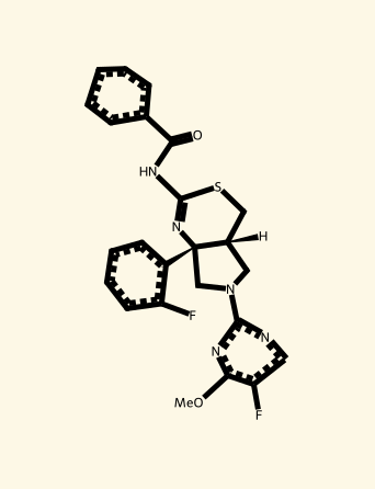 COc1nc(N2C[C@H]3CSC(NC(=O)c4ccccc4)=N[C@@]3(c3ccccc3F)C2)ncc1F